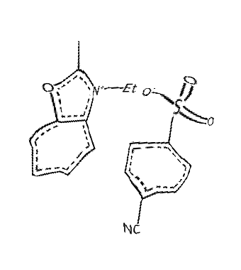 CC[n+]1c(C)oc2ccccc21.N#Cc1ccc(S(=O)(=O)[O-])cc1